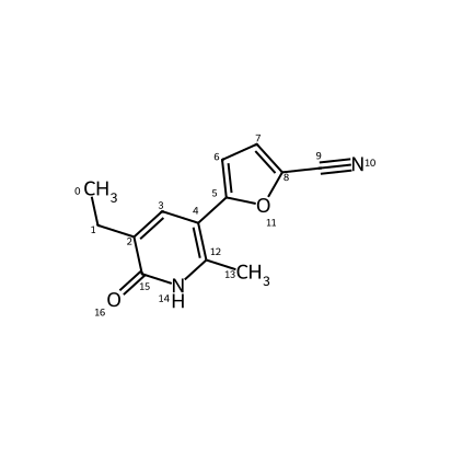 CCc1cc(-c2ccc(C#N)o2)c(C)[nH]c1=O